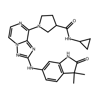 CC1(C)C(=O)Nc2cc(Nc3nc4c(N5CCC(C(=O)NC6CC6)C5)nccn4n3)ccc21